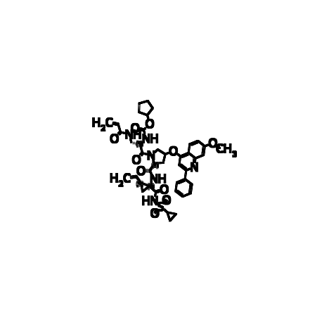 C=CC(=O)NC[C@H](NC(=O)OC1CCCC1)C(=O)N1CC(Oc2cc(-c3ccccc3)nc3cc(OC)ccc23)C[C@H]1C(=O)N[C@]1(C(=O)NS(=O)(=O)C2CC2)C[C@H]1C=C